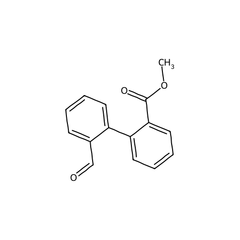 COC(=O)c1ccccc1-c1ccccc1C=O